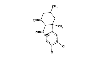 COC(=O)C1C(=O)CC(C)CC1(C)c1ccc(Cl)c(Cl)c1